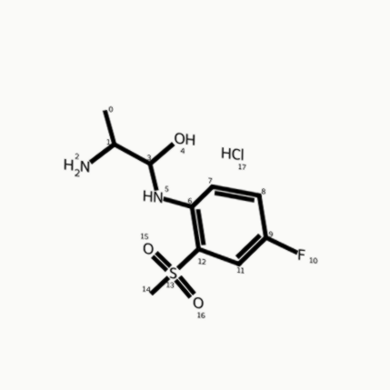 CC(N)C(O)Nc1ccc(F)cc1S(C)(=O)=O.Cl